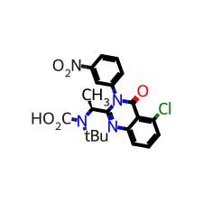 C[C@@H](c1nc2cccc(Cl)c2c(=O)n1-c1cccc([N+](=O)[O-])c1)N(C(=O)O)C(C)(C)C